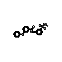 NS(=O)(=O)c1cccc(NC(=O)c2cccc(Oc3ccccc3)c2)c1